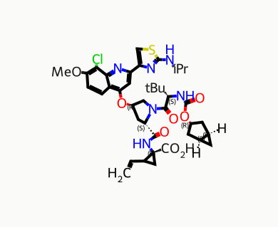 C=CC1C[C@]1(NC(=O)[C@@H]1C[C@@H](Oc2cc(-c3csc(NC(C)C)n3)nc3c(Cl)c(OC)ccc23)CN1C(=O)[C@@H](NC(=O)O[C@@H]1C[C@@H]2C[C@@H]2C1)C(C)(C)C)C(=O)O